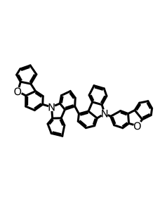 c1ccc2c(c1)oc1ccc(-n3c4ccccc4c4c(-c5cccc6c5c5ccccc5n6-c5ccc6oc7ccccc7c6c5)cccc43)cc12